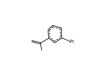 C=C(C)c1cccc(C(C)C)c1